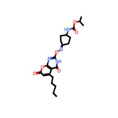 CCCCCc1cc(=O)oc2nc(ON=C3CCC(NC(=O)OC(C)C)CC3)[nH]c(=O)c12